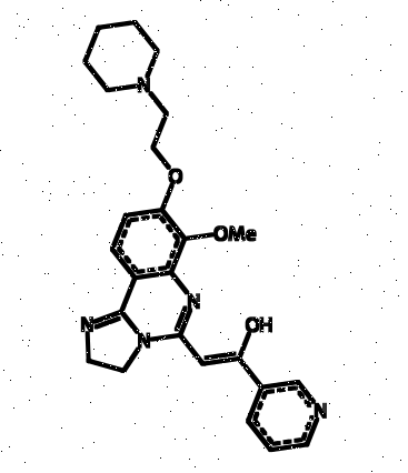 COc1c(OCCN2CCCCC2)ccc2c1N=C(/C=C(\O)c1cccnc1)N1CCN=C21